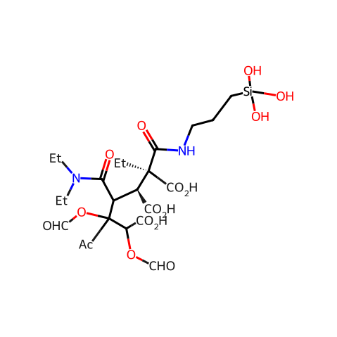 CCN(CC)C(=O)C([C@H](C(=O)O)[C@](CC)(C(=O)O)C(=O)NCCC[Si](O)(O)O)C(OC=O)(C(C)=O)C(OC=O)C(=O)O